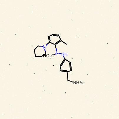 CC(=O)NCc1ccc(NN(C(=O)O)c2c(C)cccc2N2CCCCC2)cc1